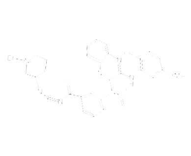 CCN1CCCC(N=[N+]=NC(=O)c2cccc(N(c3nc4ccccc4nc3Nc3cc(OC)ccc3Cl)[SH](=O)=O)c2)C1